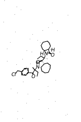 CCC(C)(N[C@H]1CCCCCC[C@H]1C(=O)[C@@](C)(CC)N1C(=O)[C@@H]2CCCCCC[C@@H]21)C(=O)c1ccc(CCl)cc1